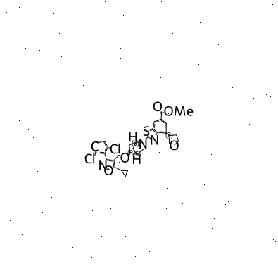 COC(=O)c1cc([C@H]2CCOC2)c2nc(N3C[C@@H]4C[C@H]3C[C@H]4OCc3c(-c4c(Cl)cccc4Cl)noc3C3CC3)sc2c1